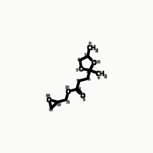 CC1COC(C)(CCC(=O)OCC2CO2)O1